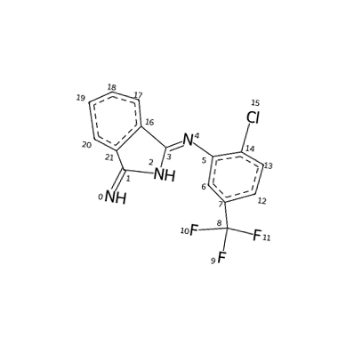 N=C1NC(=Nc2cc(C(F)(F)F)ccc2Cl)c2ccccc21